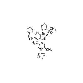 C=CC(=O)N1C[C@H](C)N(c2nc(=O)n(-c3ccccc3P(C)(C)=O)c3nc(-c4ccccc4F)c(Cl)cc23)C[C@H]1C